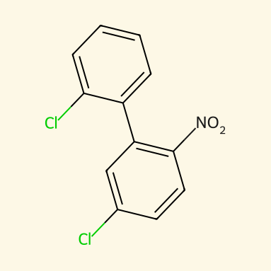 O=[N+]([O-])c1ccc(Cl)cc1-c1ccccc1Cl